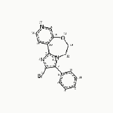 Brc1nc2n(c1-c1ccccc1)CCOc1cnccc1-2